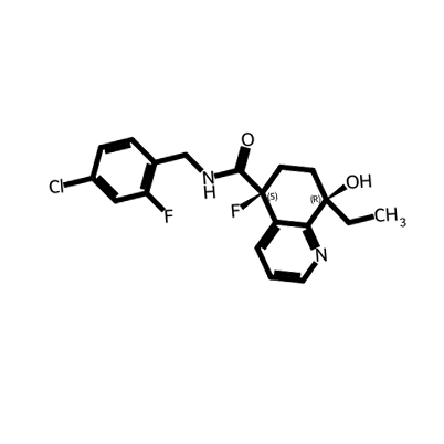 CC[C@@]1(O)CC[C@@](F)(C(=O)NCc2ccc(Cl)cc2F)c2cccnc21